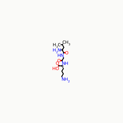 CC(C)C[C@H](N)C(=O)NCC(=O)N[C@@H](CCCCN)C(=O)O